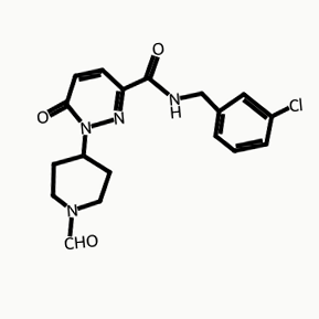 O=CN1CCC(n2nc(C(=O)NCc3cccc(Cl)c3)ccc2=O)CC1